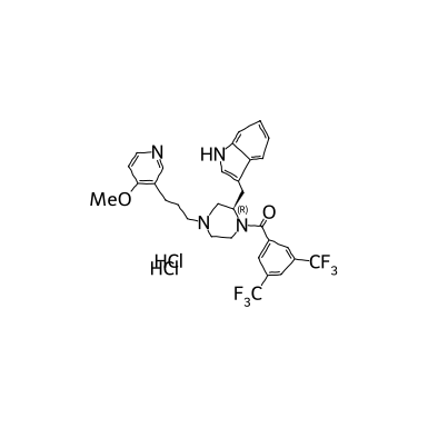 COc1ccncc1CCCN1CCN(C(=O)c2cc(C(F)(F)F)cc(C(F)(F)F)c2)[C@H](Cc2c[nH]c3ccccc23)C1.Cl.Cl